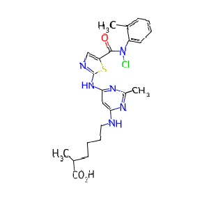 Cc1nc(NCCCCC(C)C(=O)O)cc(Nc2ncc(C(=O)N(Cl)c3ccccc3C)s2)n1